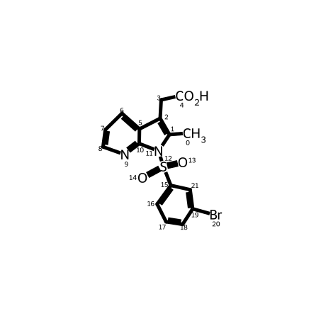 Cc1c(CC(=O)O)c2cccnc2n1S(=O)(=O)c1cccc(Br)c1